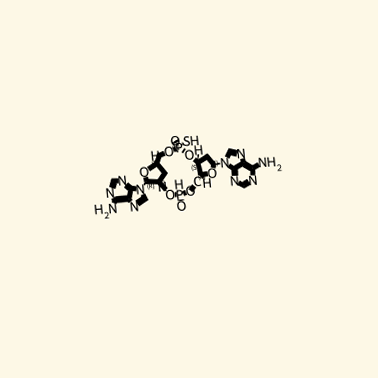 Nc1ncnc2c1ncn2[C@@H]1O[C@@H]2CO[P@@](=O)(S)O[C@H]3C[C@H](n4cnc5c(N)ncnc54)O[C@@H]3CO[PH](=O)O[C@@H]1C2